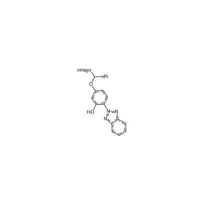 CCCCCCCC(CCC)Oc1ccc(-n2nc3ccccc3n2)c(O)c1